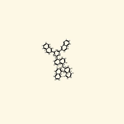 c1ccc2cc(-c3nc(-c4ccc5ccccc5c4)nc(-c4cccc5c(-n6c7ccc8ccccc8c7c7c8ccccc8ccc76)cccc45)n3)ccc2c1